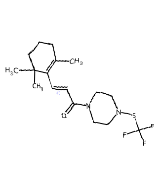 CC1=C(/C=C/C(=O)N2CCN(SC(F)(F)F)CC2)C(C)(C)CCC1